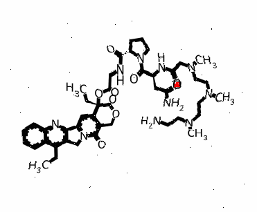 CCc1c2c(nc3ccccc13)-c1cc3c(c(=O)n1C2)COC(=O)[C@@]3(CC)OC(=O)CNC(=O)[C@@H]1CCCN1C(=O)[C@H](CC(N)=O)NC(=O)CN(C)CCN(C)CCN(C)CCN